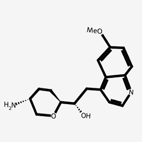 COc1ccc2nccc(C[C@H](O)[C@@H]3CC[C@@H](N)CO3)c2c1